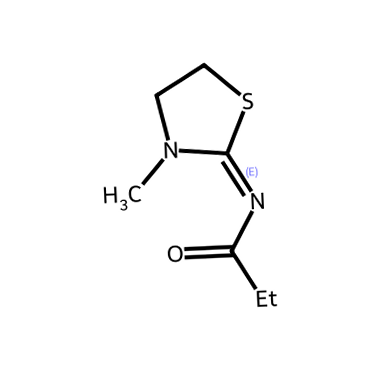 [CH2]CC(=O)/N=C1/SCCN1C